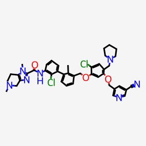 Cc1c(COc2cc(OCc3cncc(C#N)c3)c(CN3CCCCC3)cc2Cl)cccc1-c1cccc(NC(=O)c2nc3c(n2C)CCN(C)C3)c1Cl